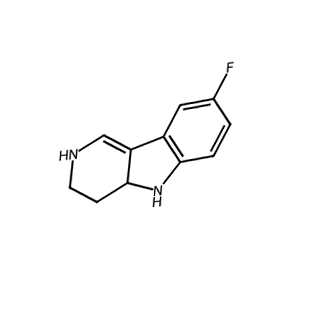 Fc1ccc2c(c1)C1=CNCCC1N2